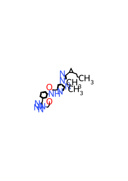 CCCC1CC1c1cn(-c2cc(C(=O)Nc3cccc4c3OCCn3nnnc3-4)ncc2N(C)C)cn1